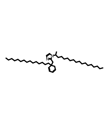 CCCCCCCCCCCCCCCCC(C)n1ccnc1CC1(CCCCCCCCCCCCCCC)C=CC=CC1